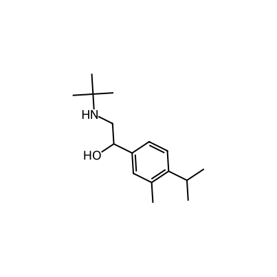 Cc1cc(C(O)CNC(C)(C)C)ccc1C(C)C